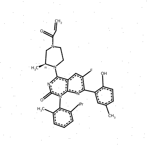 C=CC(=O)N1CCN(c2nc(=O)n(-c3c(C)cccc3C(C)C)c3nc(-c4cc(C)ccc4O)c(F)cc23)[C@@H](C)C1